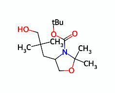 CC(C)(CO)CC1COC(C)(C)N1C(=O)OC(C)(C)C